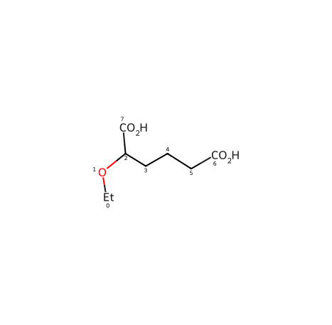 CCOC(CCCC(=O)O)C(=O)O